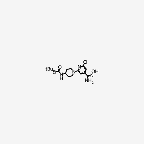 CC(C)(C)OC(=O)NC1CCN(c2cc(/C(N)=N\O)cc(Cl)n2)CC1